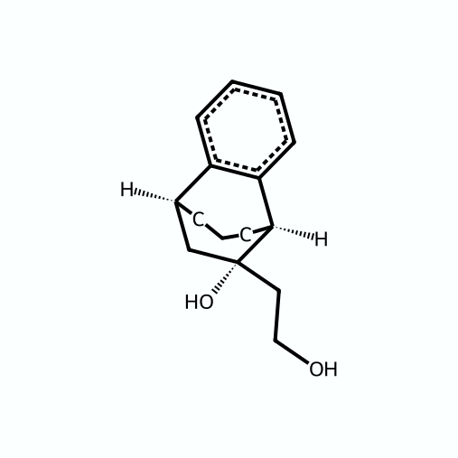 OCC[C@@]1(O)C[C@@H]2CCC[C@H]1c1ccccc12